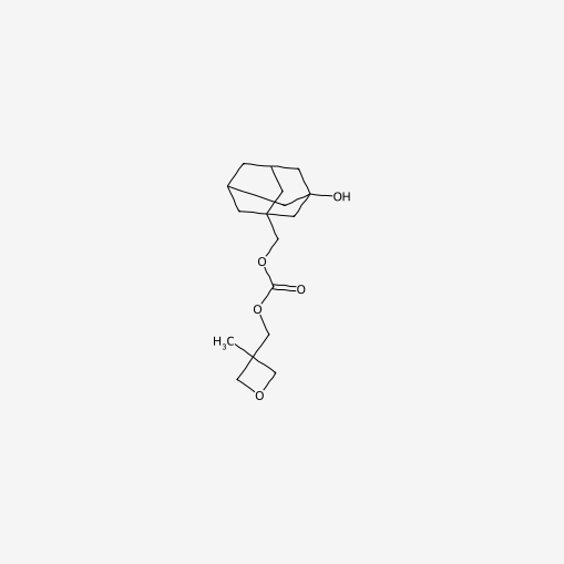 CC1(COC(=O)OCC23CC4CC(CC(O)(C4)C2)C3)COC1